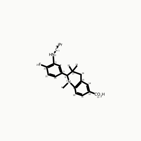 CC(C)CNc1cc(C2N(C)c3ccc(C(=O)O)cc3CC2(C)C)ccc1F